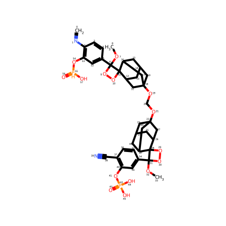 C=Nc1ccc(C2(OC)OOC23C2CC4CC3CC(OCOC35CC6CC(C3)C3(OOC3(OC)c3ccc(C#N)c(OP(=O)(O)O)c3)C(C6)C5)(C4)C2)cc1O[PH](=O)O